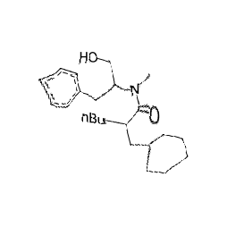 CCCCC(CC1CCCCC1)C(=O)N(C)C(CO)Cc1ccccc1